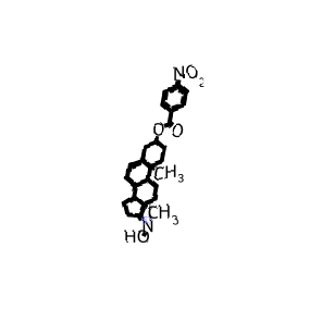 C[C@]12CCC(OC(=O)c3ccc([N+](=O)[O-])cc3)CC1=CCC1C2CC[C@]2(C)/C(=N/O)CCC12